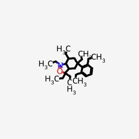 CCc1cccc(CC)c1C1(CC)CC(CC)C2C(C1)C(CC)(CC)ON2CC